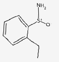 CCc1ccccc1[S+](N)[O-]